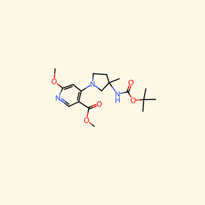 COC(=O)c1cnc(OC)cc1N1CCC(C)(NC(=O)OC(C)(C)C)C1